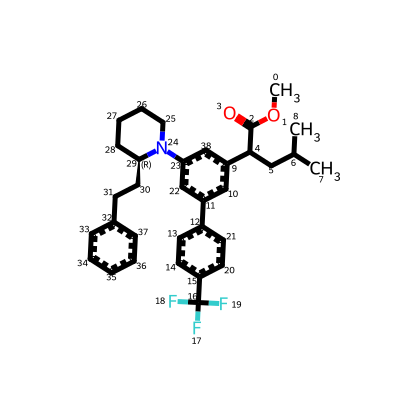 COC(=O)C(CC(C)C)c1cc(-c2ccc(C(F)(F)F)cc2)cc(N2CCCC[C@@H]2CCc2ccccc2)c1